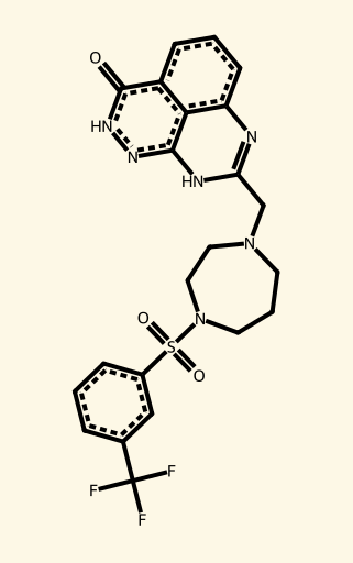 O=c1[nH]nc2c3c(cccc13)N=C(CN1CCCN(S(=O)(=O)c3cccc(C(F)(F)F)c3)CC1)N2